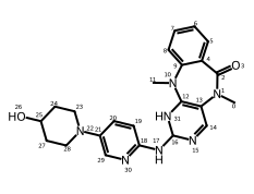 CN1C(=O)c2ccccc2N(C)C2=C1C=NC(Nc1ccc(N3CCC(O)CC3)cn1)N2